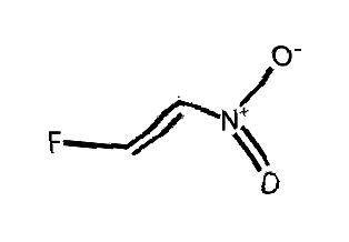 O=[N+]([O-])[C]=CF